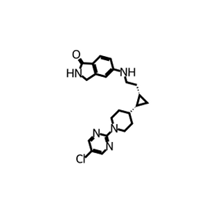 O=C1NCc2cc(NCC[C@@H]3C[C@@H]3C3CCN(c4ncc(Cl)cn4)CC3)ccc21